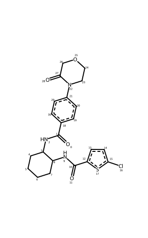 O=C(NC1CCCCC1NC(=O)c1ccc(Cl)s1)c1ccc(N2CCOCC2=O)cc1